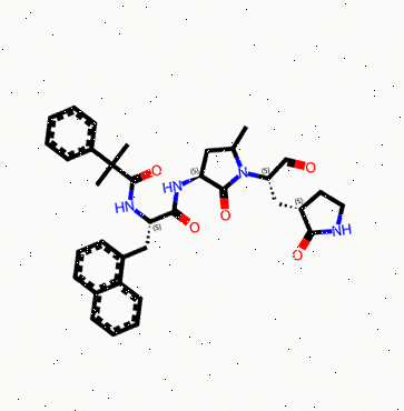 CC1C[C@H](NC(=O)[C@H](Cc2cccc3ccccc23)NC(=O)C(C)(C)c2ccccc2)C(=O)N1[C@H](C=O)C[C@@H]1CCNC1=O